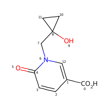 O=C(O)c1ccc(=O)n(CC2(O)CC2)c1